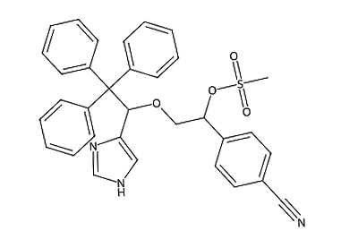 CS(=O)(=O)OC(COC(c1c[nH]cn1)C(c1ccccc1)(c1ccccc1)c1ccccc1)c1ccc(C#N)cc1